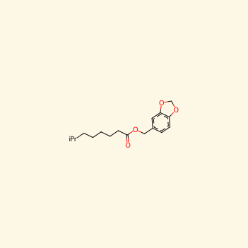 CC(C)CCCCCC(=O)OCc1ccc2c(c1)OCO2